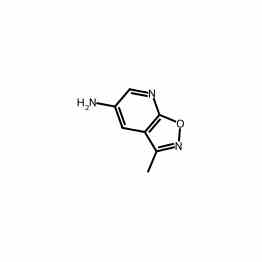 Cc1noc2ncc(N)cc12